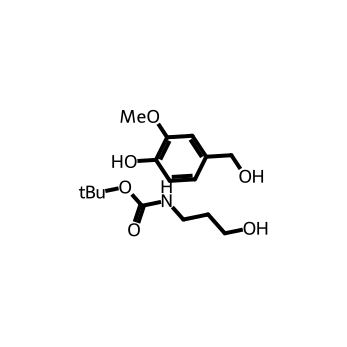 CC(C)(C)OC(=O)NCCCO.COc1cc(CO)ccc1O